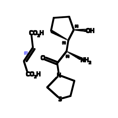 N[C@H](C(=O)N1CCSC1)[C@@H]1CCC[C@@H]1O.O=C(O)/C=C/C(=O)O